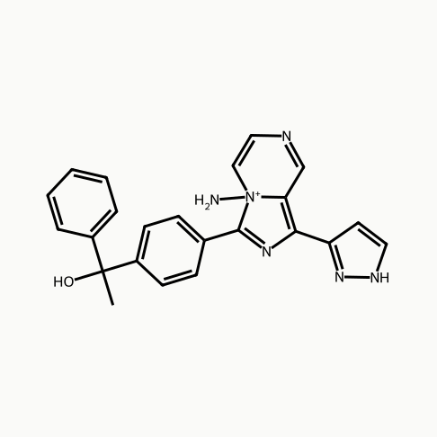 CC(O)(c1ccccc1)c1ccc(C2=NC(c3cc[nH]n3)=C3C=NC=C[N+]23N)cc1